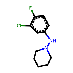 Fc1ccc(NN2CCCCC2)cc1Cl